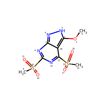 COc1[nH]nc2nc(S(C)(=O)=O)nc(S(C)(=O)=O)c12